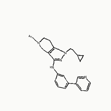 CC(=O)N1CCc2c(c(Nc3cccc(-c4cccnc4)c3)nn2CC2CC2)C1